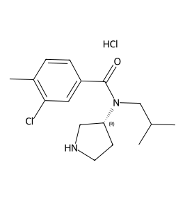 Cc1ccc(C(=O)N(CC(C)C)[C@@H]2CCNC2)cc1Cl.Cl